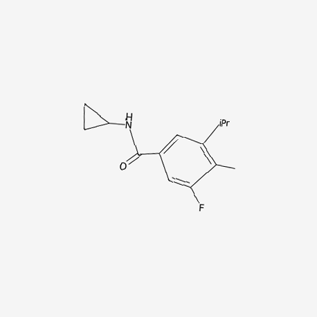 Cc1c(F)cc(C(=O)NC2CC2)cc1C(C)C